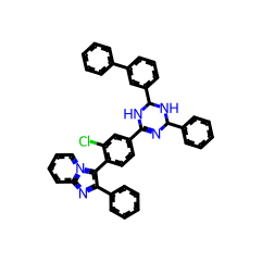 Clc1cc(C2=NC(c3ccccc3)NC(c3cccc(-c4ccccc4)c3)N2)ccc1-c1c(-c2ccccc2)nc2ccccn12